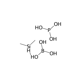 C[SiH](C)C.OB(O)O.OP(O)O